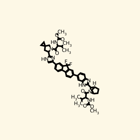 COC(=O)NC(C(=O)N1CC2(CC2)CC1c1nc(-c2ccc3c(c2)C(F)(F)c2cc(-c4ccc5nc(C6[C@H]7CCC(C7)N6C(=O)C(NC(=O)OC)C(C)C)[nH]c5c4)ccc2-3)c[nH]1)C(C)C